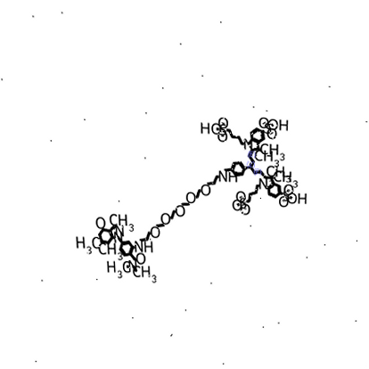 Cc1nn(-c2ccc(C(=O)N(C)C)c(NCCCOCCOCCOCCOCCOCCCNCc3ccc(C(=C\C=C4\N(CCCCS(=O)(=O)O)c5ccc(S(=O)(=O)O)cc5C4(C)C)/C=C/C4=[N+](CCCCS(=O)(=O)[O-])c5ccc(S(=O)(=O)O)cc5C4(C)C)cc3)c2)c2c1C(=O)CC(C)(C)C2